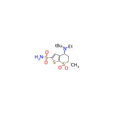 CCN([C@H]1C[C@H](C)S(=O)(=O)c2sc(S(N)(=O)=O)cc21)C(C)(C)C